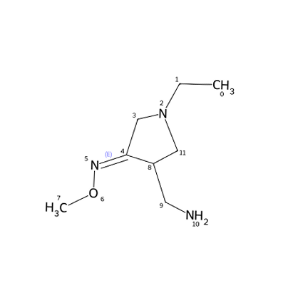 CCN1C/C(=N/OC)C(CN)C1